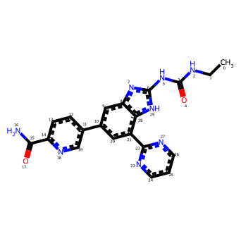 CCNC(=O)Nc1nc2cc(-c3ccc(C(N)=O)nc3)cc(-c3ncccn3)c2[nH]1